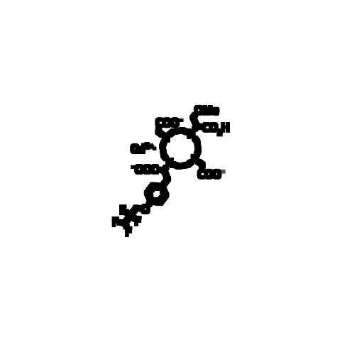 COCC(C(=O)O)N1CCN(CC(=O)[O-])CCN(C(Cc2ccc(OCC(F)(F)C(F)F)cc2)C(=O)[O-])CCN(CC(=O)[O-])CC1.[Gd+3]